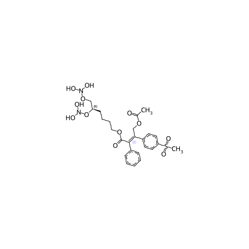 CC(=O)OC/C(=C(\C(=O)OCCCC[C@H](CON(O)O)ON(O)O)c1ccccc1)c1ccc(S(C)(=O)=O)cc1